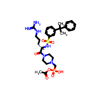 CC(=O)OP(=O)(O)CN1CCN(C(=O)[C@H](CCCNC(=N)N)NS(=O)(=O)c2cccc(C(C)(C)c3ccccc3)c2)CC1